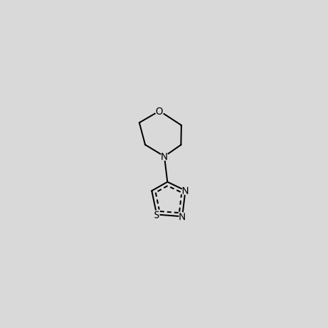 c1snnc1N1CCOCC1